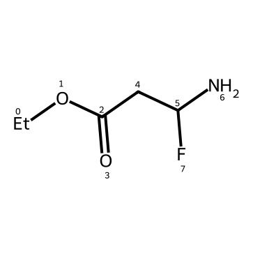 CCOC(=O)CC(N)F